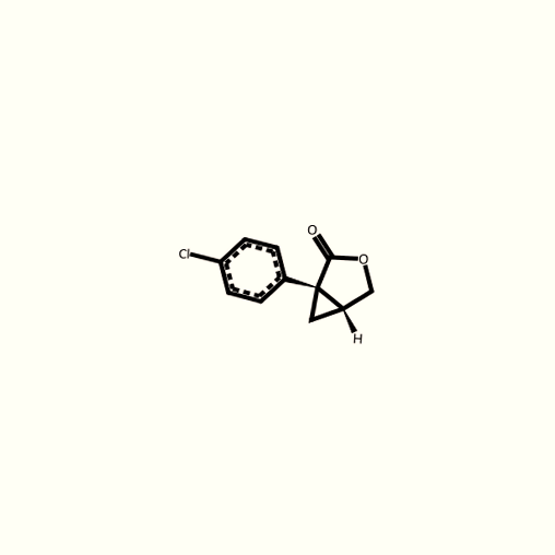 O=C1OC[C@@H]2C[C@]12c1ccc(Cl)cc1